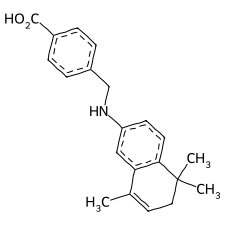 CC1=CCC(C)(C)c2ccc(NCc3ccc(C(=O)O)cc3)cc21